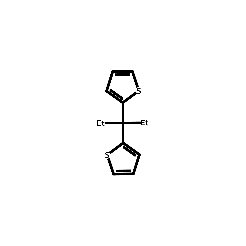 CCC(CC)(c1cccs1)c1cccs1